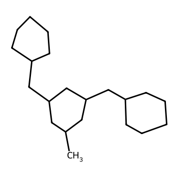 CC1CC(CC2CCCCC2)CC(CC2CCCCC2)C1